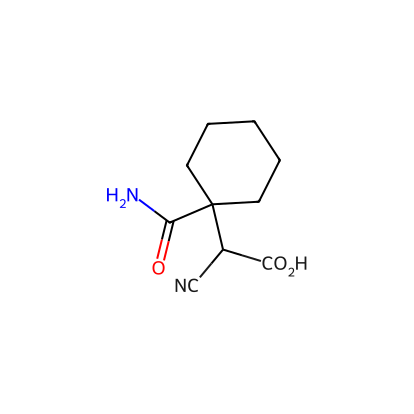 N#CC(C(=O)O)C1(C(N)=O)CCCCC1